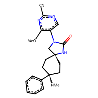 CN[C@]1(c2ccccc2)CC[C@@]2(CC1)CN(c1cnc(C#N)nc1OC)C(=O)N2